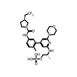 Cc1ccc(NC(=O)N2CC[C@@H](CC(F)(F)F)C2)cc1-c1cc(N[C@H](C)COP(=O)(O)O)nc(N2CCOCC2)c1